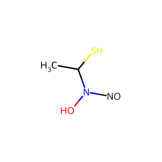 CC(S)N(O)N=O